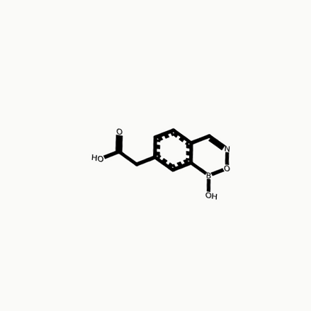 O=C(O)Cc1ccc2c(c1)B(O)ON=C2